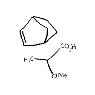 C1=CC2CCC1C2.COC(C)C(=O)O